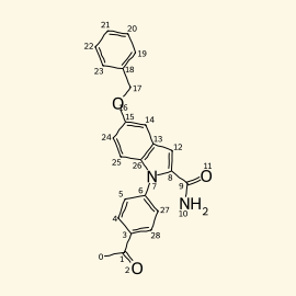 CC(=O)c1ccc(-n2c(C(N)=O)cc3cc(OCc4ccccc4)ccc32)cc1